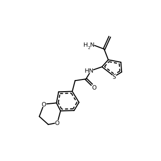 C=C(N)c1ccsc1NC(=O)Cc1ccc2c(c1)OCCO2